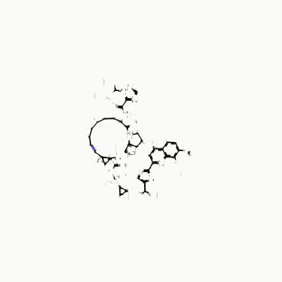 COc1ccc2c(O[C@@H]3C[C@H]4C(=O)N[C@]5(C(=O)NS(=O)(=O)C6CC6)C[C@H]5/C=C\CCCCC[C@H](NC(=O)c5ncnn5C(C)C)C(=O)N4C3)cc(-c3nc(C(C)C)cs3)nc2c1C